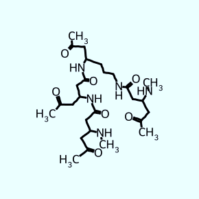 CNC(CC(C)=O)CC(=O)NCCCC(CC(C)=O)NC(=O)CC(CC(C)=O)NC(=O)CC(CC(C)=O)NC